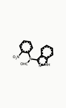 O=CN(c1ccccc1[N+](=O)[O-])c1n[nH]c2ccccc12